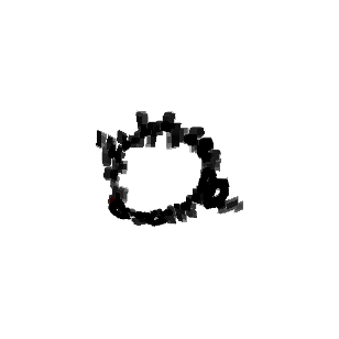 Cc1ccc(CC2NC(=O)C3CCN3C(=O)CNC(=O)CNC(=O)CNC(=O)CC(C(N)=O)NC(=O)CNC(=O)C3(CCCC3)NC(=O)C3CCCN3C(=O)CNC(=O)CNC2=O)cc1